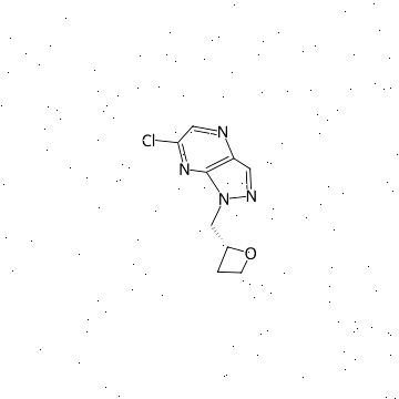 Clc1cnc2cnn(C[C@H]3CCO3)c2n1